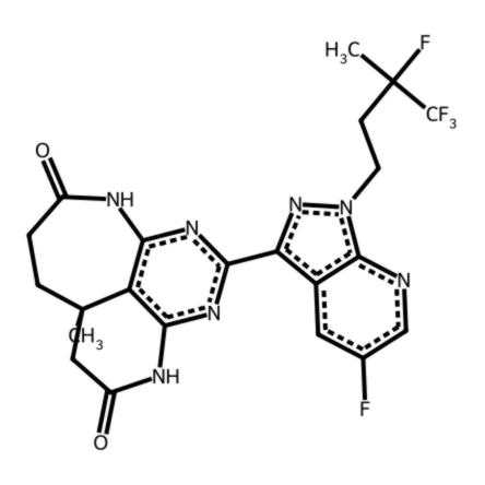 CC12CCC(=O)Nc3nc(-c4nn(CCC(C)(F)C(F)(F)F)c5ncc(F)cc45)nc(c31)NC(=O)C2